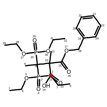 CCOP(=O)(OCC)C(C)(C(C)(C(=O)O)C(=O)OCc1ccccc1)P(=O)(OCC)OCC